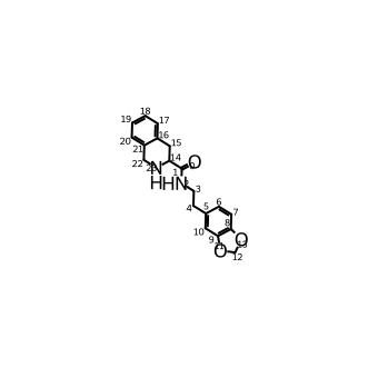 O=C(NCCc1ccc2c(c1)OCO2)C1Cc2ccccc2CN1